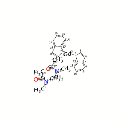 C1=C[CH]([Gd][CH]2C=Cc3ccccc32)c2ccccc21.CN(C)[Si](C)=O.CN(C)[Si](C)=O